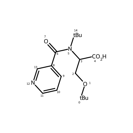 CC(C)(C)OCC(C(=O)O)N(C(=O)c1cccnc1)C(C)(C)C